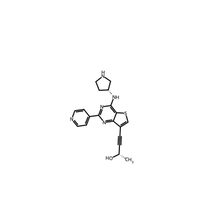 C[C@H](O)C#Cc1csc2c(N[C@@H]3CCNC3)nc(-c3ccncc3)nc12